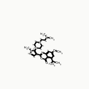 COc1cc(C(C)C)c2c(=O)oc(-c3cnn(C)c3N3CCN(CCN(C)C)CC3)nc2c1